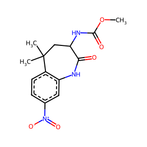 COC(=O)NC1CC(C)(C)c2ccc([N+](=O)[O-])cc2NC1=O